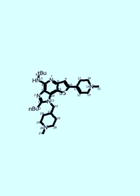 CCCCc1nc2c(NC(C)(C)C)nc3cc(C4=CCN(C)CC4)sc3c2n1CC1CCN(C)CC1